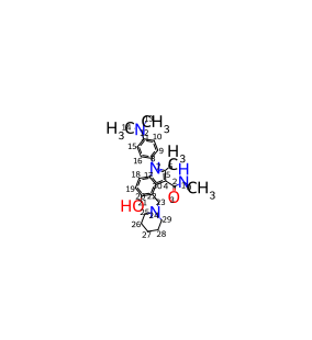 CNC(=O)c1c(C)n(-c2ccc(N(C)C)cc2)c2ccc(O)c(CN3CCCCC3)c12